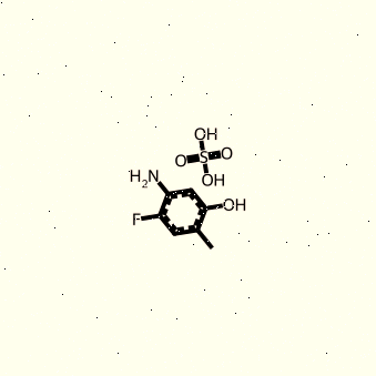 Cc1cc(F)c(N)cc1O.O=S(=O)(O)O